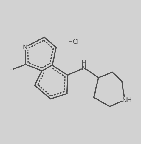 Cl.Fc1nccc2c(NC3CCNCC3)cccc12